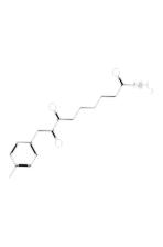 Cc1ccc(CC(=O)C(=O)CCCCCC(N)=O)cc1